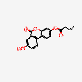 CCCC(=O)Oc1ccc2c(c1)oc(=O)c1cc(O)ccc12